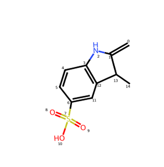 C=C1Nc2ccc(S(=O)(=O)O)cc2C1C